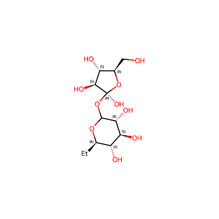 CC[C@H]1OC(O[C@]2(O)O[C@H](CO)[C@@H](O)[C@@H]2O)[C@H](O)[C@@H](O)[C@@H]1O